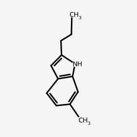 CCCc1cc2ccc(C)cc2[nH]1